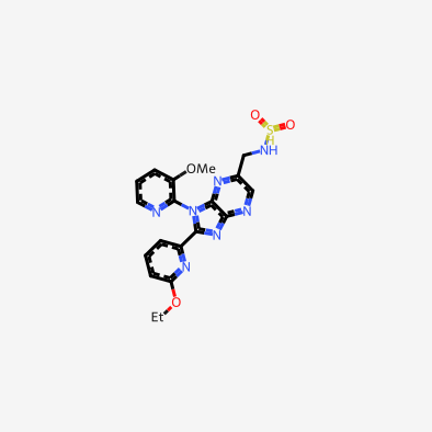 CCOc1cccc(-c2nc3ncc(CN[SH](=O)=O)nc3n2-c2ncccc2OC)n1